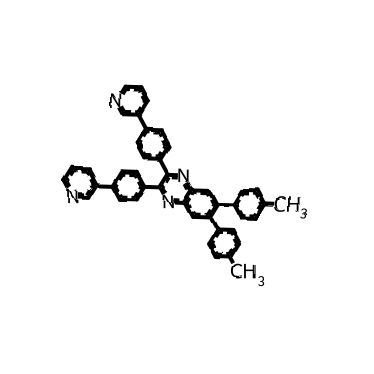 Cc1ccc(-c2cc3nc(-c4ccc(-c5cccnc5)cc4)c(-c4ccc(-c5cccnc5)cc4)nc3cc2-c2ccc(C)cc2)cc1